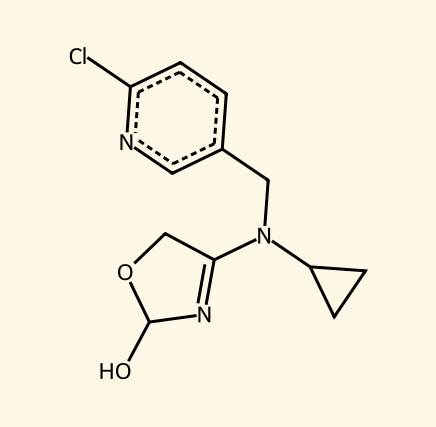 OC1N=C(N(Cc2ccc(Cl)nc2)C2CC2)CO1